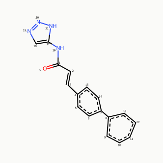 O=C(C=Cc1ccc(-c2ccccc2)cc1)NC1=C[N+]=NN1